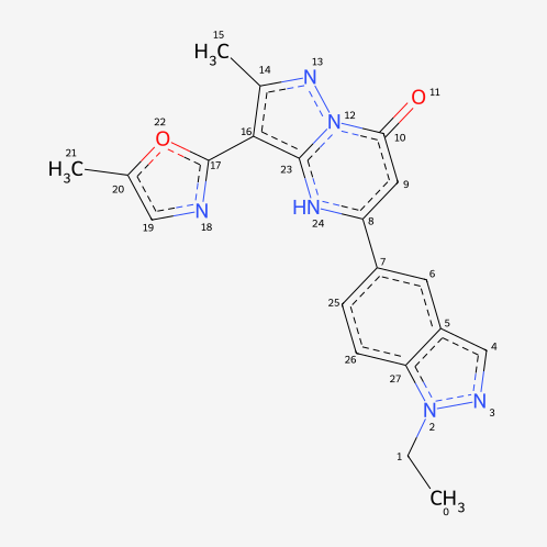 CCn1ncc2cc(-c3cc(=O)n4nc(C)c(-c5ncc(C)o5)c4[nH]3)ccc21